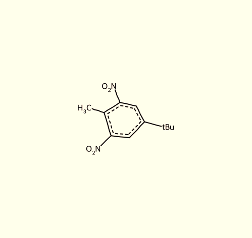 Cc1c([N+](=O)[O-])cc(C(C)(C)C)cc1[N+](=O)[O-]